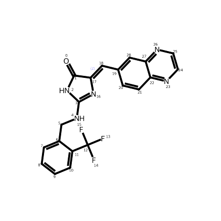 O=C1NC(NCc2ccccc2C(F)(F)F)=N/C1=C\c1ccc2nccnc2c1